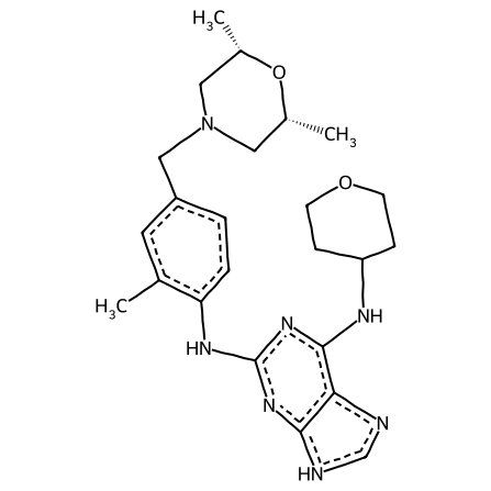 Cc1cc(CN2C[C@@H](C)O[C@@H](C)C2)ccc1Nc1nc(NC2CCOCC2)c2nc[nH]c2n1